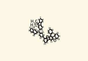 CC1(C)c2ccccc2-c2ccc(N(c3ccc(-c4cccc5c4oc4c(-c6ccccc6)c6c(cc45)oc4ccccc46)cc3)c3ccc4ccccc4c3)cc21